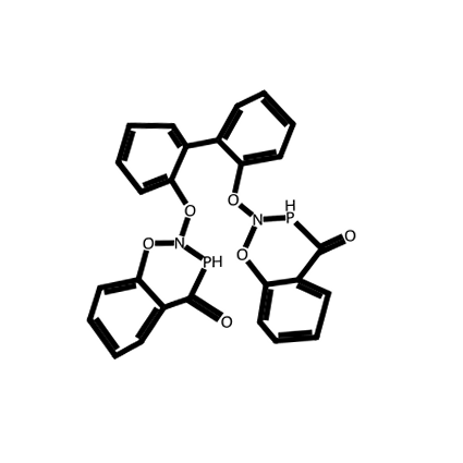 O=C1PN(Oc2ccccc2-c2ccccc2ON2Oc3ccccc3C(=O)P2)Oc2ccccc21